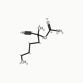 CCCCCC(C)(C#N)OC(N)=O